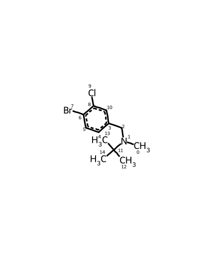 CN(Cc1ccc(Br)c(Cl)c1)C(C)(C)C